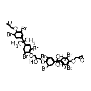 CC(C)(C1=CC(Br)=C(OCC(O)COC2=C(Br)C=C(C(C)(C)C3=CC(Br)=C(OCC4CO4)C(Br)C3)CC2Br)C(Br)C1)C1=CC(Br)=C(OCC2CO2)C(Br)C1